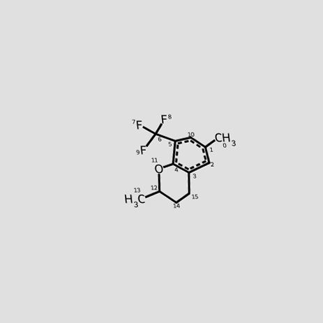 Cc1cc2c(c(C(F)(F)F)c1)OC(C)CC2